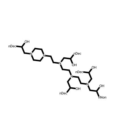 CCCCCCCCCCC(O)CN1CCN(CCN(CCN(CCN(CC(O)CCCCCCCCC)CC(O)CCCCCCCCCC)CC(O)CCCCCCCCCC)CC(O)CCCCCCCCCC)CC1